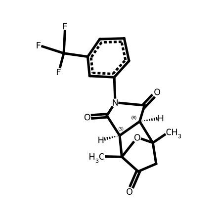 CC12CC(=O)C(C)(O1)[C@H]1C(=O)N(c3cccc(C(F)(F)F)c3)C(=O)[C@H]12